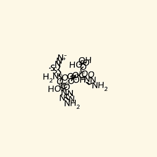 CSSC(CN=[N+]=[N-])C[C@@H](N)C(=O)O[C@H]1[C@@H](O)[C@H](n2cnc3c(N)ncnc32)O[C@H]1COP(=O)(O)O[C@H]1C[C@H](n2ccc(N)nc2=O)O[C@@H]1COP(=O)(O)O